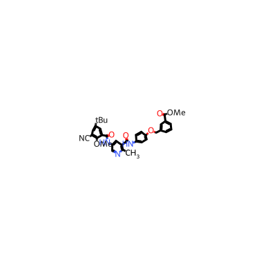 COC(=O)c1cccc(COc2ccc(NC(=O)c3cc(NC(=O)c4cc(C(C)(C)C)cc(C#N)c4OC)cnc3C)cc2)c1